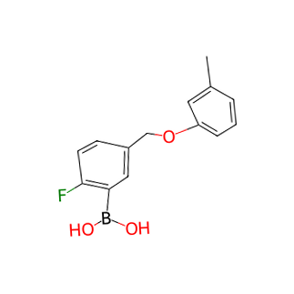 Cc1cccc(OCc2ccc(F)c(B(O)O)c2)c1